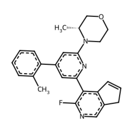 Cc1ccccc1-c1cc(-c2c(F)ncc3c2C=CC3)nc(N2CCOC[C@H]2C)c1